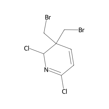 ClC1=NC(Cl)C(CBr)(CBr)C=C1